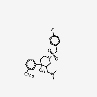 COc1cccc(C2(O)CCN(S(=O)(=O)Cc3ccc(F)cc3)CC2CN(C)C)c1